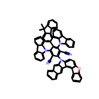 CC1(C)c2ccccc2-c2cc(-c3c(-n4c5ccccc5c5ccccc54)c(C#N)c(-n4c5cc6ccccc6cc5c5c6c(ccc54)oc4ccccc46)c(C#N)c3-n3c4ccccc4c4ccccc43)ccc21